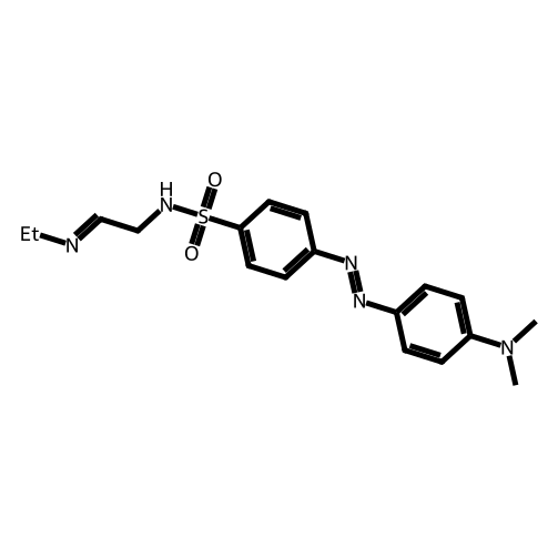 CC/N=C/CNS(=O)(=O)c1ccc(/N=N/c2ccc(N(C)C)cc2)cc1